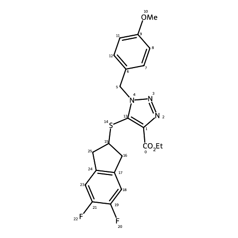 CCOC(=O)c1nnn(Cc2ccc(OC)cc2)c1SC1Cc2cc(F)c(F)cc2C1